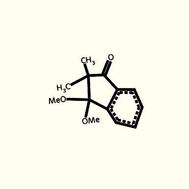 COC1(OC)c2ccccc2C(=O)C1(C)C